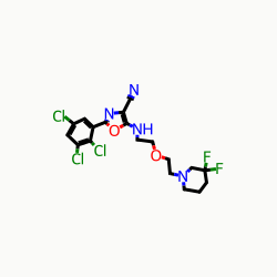 N#Cc1nc(-c2cc(Cl)cc(Cl)c2Cl)oc1NCCOCCN1CCCC(F)(F)C1